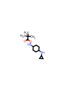 CC(C)(C)C(=O)ONC1CCC(NC2CC2)CC1